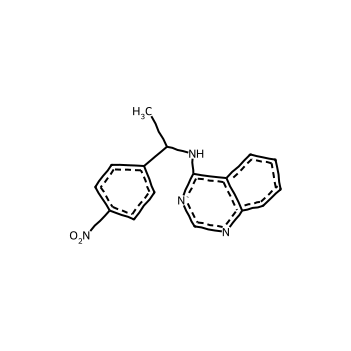 CC(Nc1ncnc2ccccc12)c1ccc([N+](=O)[O-])cc1